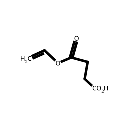 C=COC(=O)CCC(=O)O